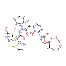 O=C(Nc1cccn([C@@H](Cc2ccccc2)C(=O)N[C@@H](C[C@@H]2CCNC2=O)C(=O)C(=O)c2nccs2)c1=O)O[C@@H]1CCCOCOC1